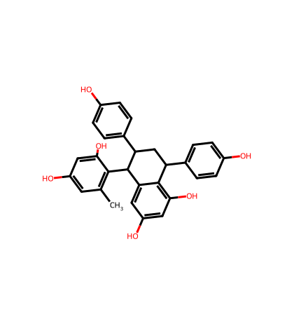 Cc1cc(O)cc(O)c1C1c2cc(O)cc(O)c2C(c2ccc(O)cc2)CC1c1ccc(O)cc1